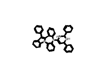 C1=C(N2c3ccccc3-c3c(-c4ccccc4)c4ccccc4n3-c3ccccc32)NC(c2ccccc2)NC1c1ccccc1